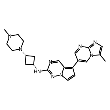 Cc1cnc2ncc(-c3ccn4nc(N[C@H]5C[C@@H](N6CCN(C)CC6)C5)ncc34)cn12